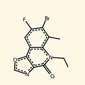 CCn1c(=O)c2ncoc2c2cc(F)c(Br)c(C)c21